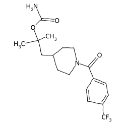 CC(C)(CC1CCN(C(=O)c2ccc(C(F)(F)F)cc2)CC1)OC(N)=O